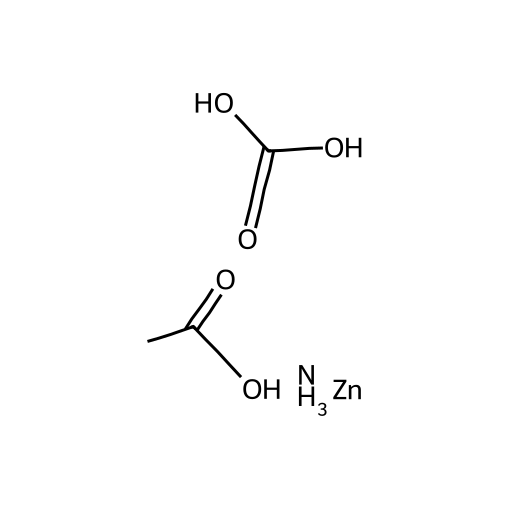 CC(=O)O.N.O=C(O)O.[Zn]